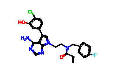 C=CC(=O)N(CCn1cc(-c2ccc(Cl)c(O)c2)c2c(N)ncnc21)Cc1ccc(F)cc1